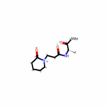 CNC(=O)[C@H](C)NC(=O)CCN1CCCCC1=O